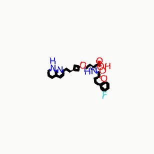 O=C(N[C@@H](CCO[C@H]1C[C@H](CCc2ccc3c(n2)NCCC3)C1)C(=O)O)C1CCc2cc(F)ccc2O1